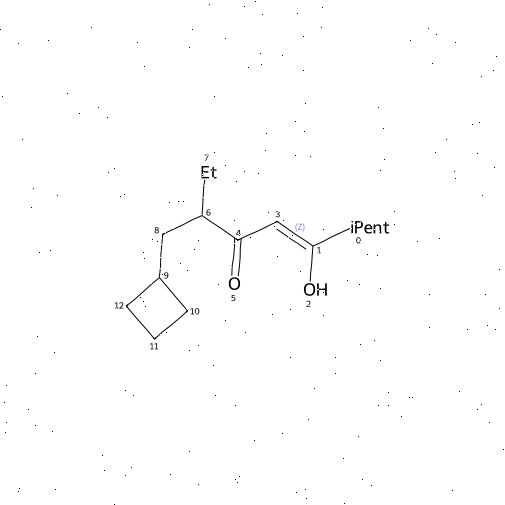 CCCC(C)/C(O)=C/C(=O)C(CC)CC1CCC1